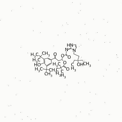 CCC(O)(CC)CCn1cc[nH]c1=NC(=O)OC(CC(=O)c1cc(C(C)(C)C)c(O)c(C(C)(C)C)c1)OC(=O)C(C)(C)C